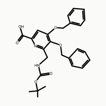 CC(C)(C)OC(=O)NCc1nc(C(=O)O)cc(OCc2ccccc2)c1OCc1ccccc1